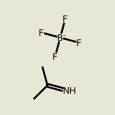 CC(C)=N.F[B-](F)(F)F